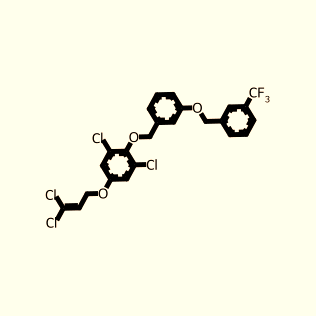 FC(F)(F)c1cccc(COc2cccc(COc3c(Cl)cc(OCC=C(Cl)Cl)cc3Cl)c2)c1